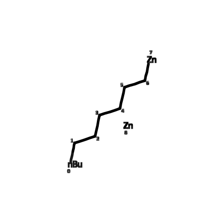 CCCCCCCCC[CH2][Zn].[Zn]